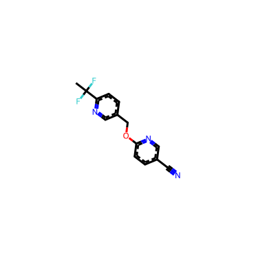 CC(F)(F)c1ccc(COc2ccc(C#N)cn2)cn1